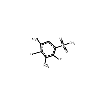 CC(C)c1c([N+](=O)[O-])cc(S(C)(=O)=O)c(C(C)C)c1[N+](=O)[O-]